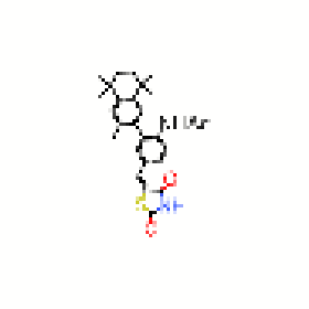 CC(=O)Nc1ccc(/C=C2/SC(=O)NC2=O)cc1-c1cc2c(cc1C)C(C)(C)CCC2(C)C